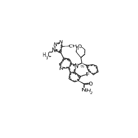 Cc1nnn(C)c1-c1cnc2c3ccc(C(N)=O)c(F)c3n([C@H](c3ccccc3)C3CCOCC3)c2c1